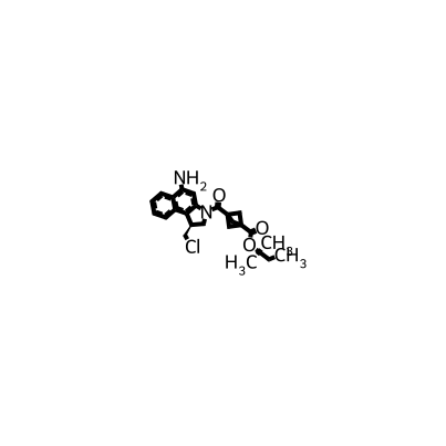 CCC(C)(C)OC(=O)C12CC(C(=O)N3C[C@@H](CCl)c4c3cc(N)c3ccccc43)(C1)C2